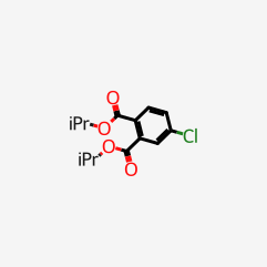 CC(C)OC(=O)c1ccc(Cl)cc1C(=O)OC(C)C